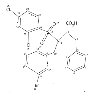 O=C(O)C(Cc1ccccc1)N(Cc1cccc(Br)c1)S(=O)(=O)c1ccc(Cl)cc1Cl